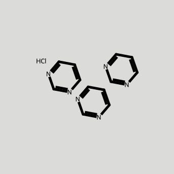 Cl.c1cncnc1.c1cncnc1.c1cncnc1